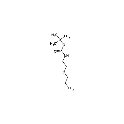 CCCOCCNC(=O)OC(C)(C)C